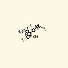 CCOc1cc2c(cc1OC)[C@H]1CN(C)CC[C@H]1N=C2c1ccc(-c2nnn(CC)n2)cc1.Cl